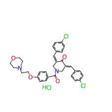 Cl.O=C1C(=Cc2ccc(Cl)cc2)CN(C(=O)c2ccc(OCCN3CCOCC3)cc2)CC1=Cc1ccc(Cl)cc1